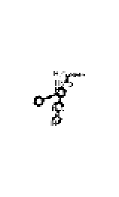 CNC(C)C(=O)Nc1ccc(-c2cnc(N3C=CNC3)nc2)c(C#Cc2ccccc2)n1